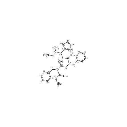 CC(CN)C(CC(=O)[C@H](Cc1ccccc1)C[C@H](O)[C@H](Cc1ccccc1)C(=O)OC(C)(C)C)c1ncc[nH]1